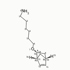 NCCCCCCO[C@H]1C[C@@H]2C=C[C@H]1C2